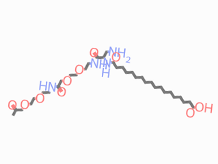 CC(=O)COCCOCCNC(=O)COCCOCCNC(=O)C(CN)NC(=O)CCCCCCCCCCCCCCCCC(=O)O